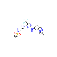 Cn1ncc2ccc(Nc3ncc(C(F)(F)F)c(NCCCNS(C)(=O)=O)n3)cc21